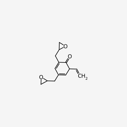 C=CC1C=C(CC2CO2)C=C(CC2CO2)C1=O